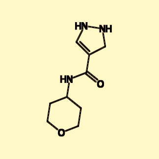 O=C(NC1CCOCC1)C1=CNNC1